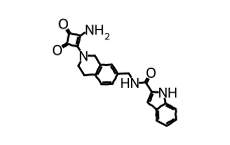 Nc1c(N2CCc3ccc(CNC(=O)c4cc5ccccc5[nH]4)cc3C2)c(=O)c1=O